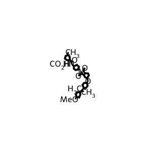 COc1ccc(C(C)(C)c2ccc(Oc3ccc4c(c3)C(=O)N(c3ccc(NC(=O)c5cc(C)ccc5C(=O)O)cc3)C4=O)cc2)cc1